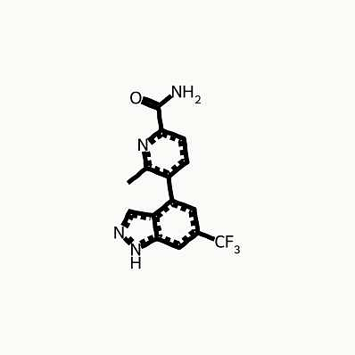 Cc1nc(C(N)=O)ccc1-c1cc(C(F)(F)F)cc2[nH]ncc12